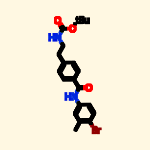 Cc1cc(NC(=O)c2ccc(CCNC(=O)OC(C)(C)C)cc2)ccc1Br